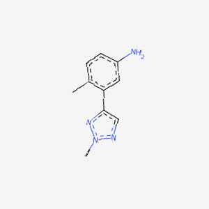 Cc1ccc(N)cc1-c1cnn(C)n1